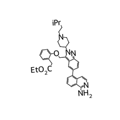 CCOC(=O)Cc1ccccc1OCc1c2cc(-c3cccc4c(N)nccc34)ccc2nn1C1CCN(CCC(C)C)CC1